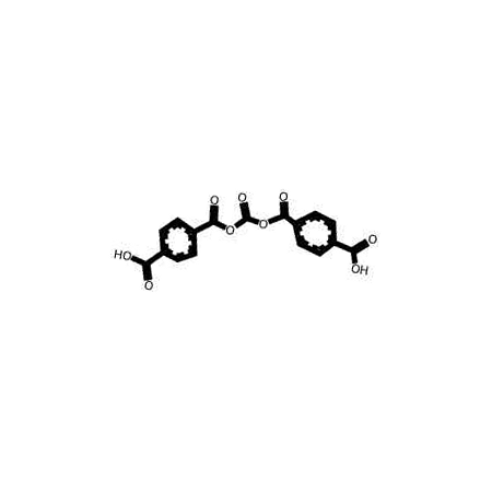 O=C(OC(=O)c1ccc(C(=O)O)cc1)OC(=O)c1ccc(C(=O)O)cc1